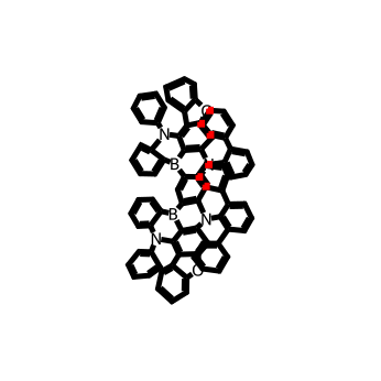 c1ccc(-c2ccccc2N2c3cc4c(cc3B3c5ccccc5N(c5ccccc5)c5c3c2cc2oc3ccccc3c52)B2c3ccccc3N(c3ccccc3)c3c2c(cc2oc5ccccc5c32)N4c2c(-c3ccccc3)cccc2-c2ccccc2)cc1